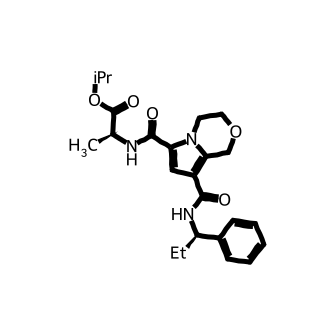 CC[C@@H](NC(=O)c1cc(C(=O)N[C@@H](C)C(=O)OC(C)C)n2c1COCC2)c1ccccc1